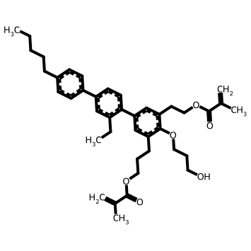 C=C(C)C(=O)OCCCc1cc(-c2ccc(-c3ccc(CCCCC)cc3)cc2CC)cc(CCOC(=O)C(=C)C)c1OCCCO